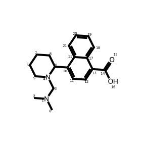 CN(C)CN1CCCCC1c1ccc(C(=O)O)c2ccccc12